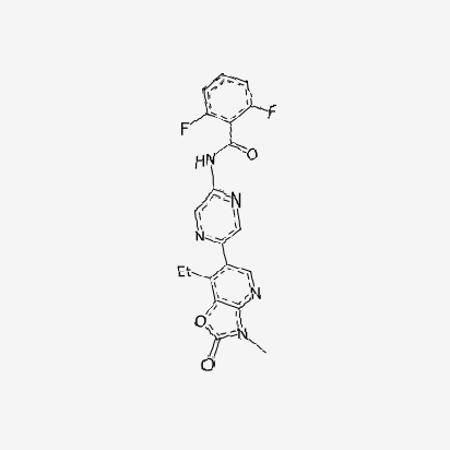 CCc1c(-c2cnc(NC(=O)c3c(F)cccc3F)cn2)cnc2c1oc(=O)n2C